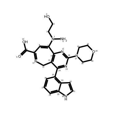 NN(CCO)C1=CC(C(=O)O)=NCc2c1nc(N1CCOCC1)nc2-c1cccc2[nH]ccc12